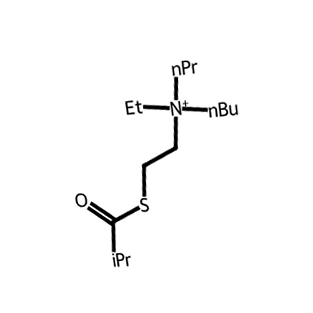 CCCC[N+](CC)(CCC)CCSC(=O)C(C)C